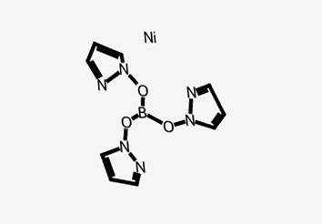 [Ni].c1cnn(OB(On2cccn2)On2cccn2)c1